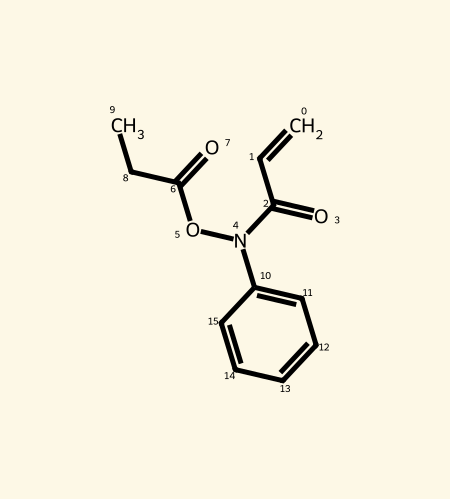 C=CC(=O)N(OC(=O)CC)c1ccccc1